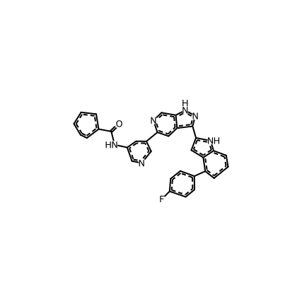 O=C(Nc1cncc(-c2cc3c(-c4cc5c(-c6ccc(F)cc6)cccc5[nH]4)n[nH]c3cn2)c1)c1ccccc1